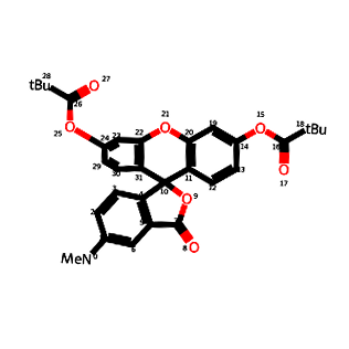 CNc1ccc2c(c1)C(=O)OC21c2ccc(OC(=O)C(C)(C)C)cc2Oc2cc(OC(=O)C(C)(C)C)ccc21